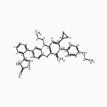 C=C1C(Cc2ccc(-c3ccccc3-c3noc(=O)[nH]3)nc2)=C(CCCC)N=C(C2CC2)N1c1ncc(OCC)cn1